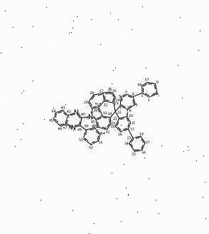 c1ccc(-c2ccc3c(c2)-c2cc(-c4ccccc4)ccc2C32c3cccc4ccc5c(c34)c3c2cccc3n5-c2nc3ccccc3nc2-c2ccccc2)cc1